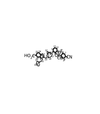 CC1(c2ccc(C#N)cc2F)Oc2cccc(N3CCN(Cc4nc5ccc(C(=O)O)cc5n4CC4CCO4)C4CC43)c2O1